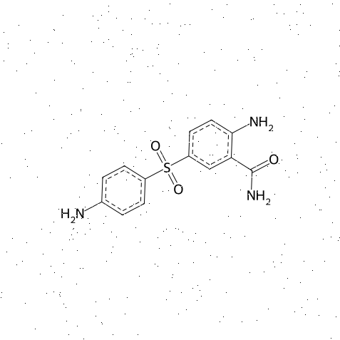 NC(=O)c1cc(S(=O)(=O)c2ccc(N)cc2)ccc1N